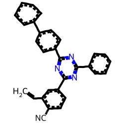 C=Cc1cc(-c2nc(-c3ccccc3)nc(-c3ccc(-c4ccccc4)cc3)n2)ccc1C#N